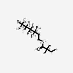 CCC(C)(C)C(=O)NCCC(F)(F)C(F)(F)C(F)(F)C(F)(F)F